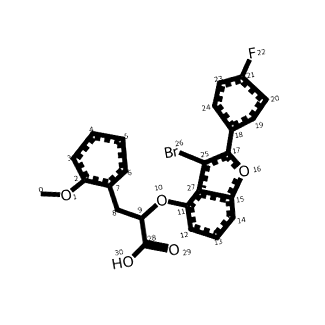 COc1ccccc1CC(Oc1cccc2oc(-c3ccc(F)cc3)c(Br)c12)C(=O)O